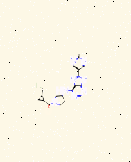 CCn1c(-c2cnc(C)nc2)nc2c(N[C@H]3CCN(C(=O)C4CC4CF)C3)ncnc21